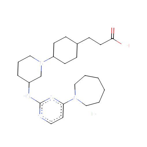 Cl.O=C(O)CCC1CCC(N2CCCC(Nc3nccc(N4CCCCCC4)n3)C2)CC1